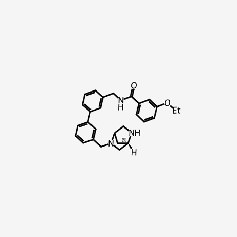 CCOc1cccc(C(=O)NCc2cccc(-c3cccc(CN4C[C@@H]5CC4CN5)c3)c2)c1